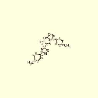 CC(=Cn1c(-c2ccc(C)cc2)noc1=O)c1nc(-c2ccc(C)cc2)no1